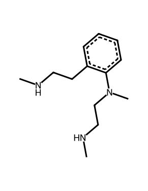 CNCCc1ccccc1N(C)CCNC